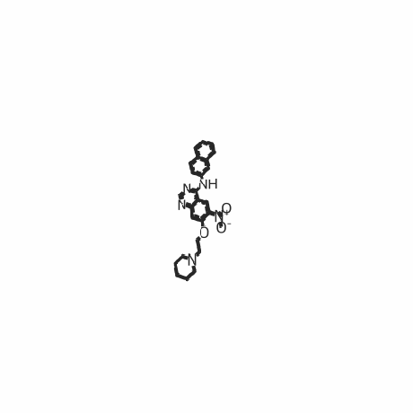 O=[N+]([O-])c1cc2c(Nc3ccc4ccccc4c3)ncnc2cc1OCCN1CCCCC1